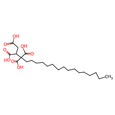 CCCCCCCCCCCCCCCCC(C(=O)O)(C(=O)O)C(CC(=O)O)C(=O)O